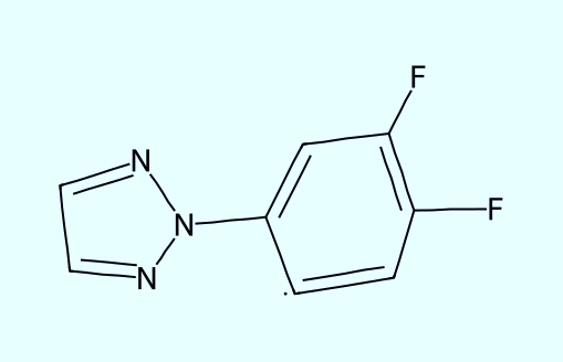 Fc1c[c]c(-n2nccn2)cc1F